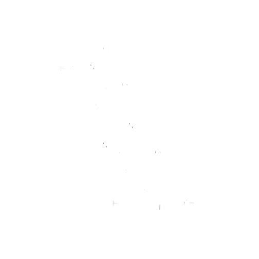 CCC(Oc1nc(SC(=O)N(C)C)ns1)C(C)(C)C